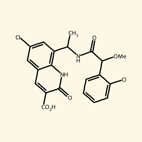 COC(C(=O)NC(C)c1cc(Cl)cc2cc(C(=O)O)c(=O)[nH]c12)c1ccccc1Cl